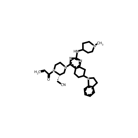 C=CC(=O)N1CCN(c2nc(NC3CCN(C)CC3)nc3c2CCC(N2CCc4ccccc42)C3)C[C@@H]1CC#N